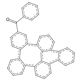 O=C(c1ccccc1)c1ccc2c3ccccc3c3cccc4c5ccccc5c5cccc(c2c1)c5c34